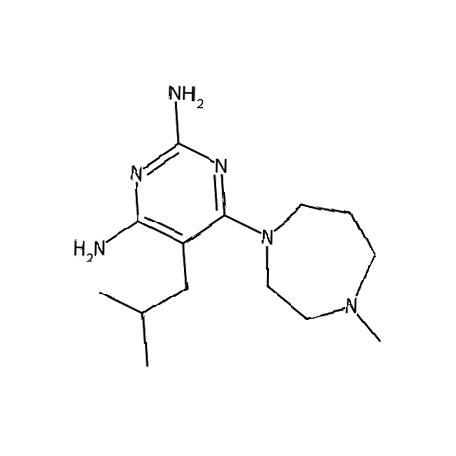 CC(C)Cc1c(N)nc(N)nc1N1CCCN(C)CC1